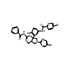 O=C(NC1=NCC2CN(c3ncc(F)cn3)CC2(c2cc(NC(=O)c3ccc(F)cn3)ccc2F)S1)c1ccccc1